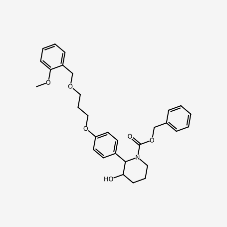 COc1ccccc1COCCCOc1ccc(C2C(O)CCCN2C(=O)OCc2ccccc2)cc1